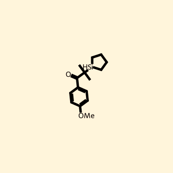 COc1ccc(C(=O)C(C)(C)[SiH]2CCCC2)cc1